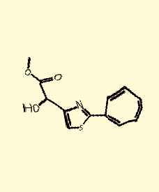 COC(=O)C(O)c1csc(-c2ccccc2)n1